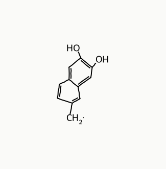 [CH2]c1ccc2cc(O)c(O)cc2c1